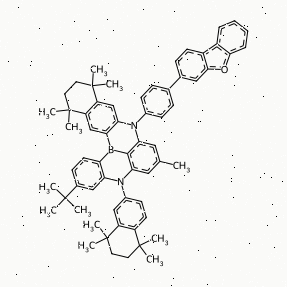 Cc1cc2c3c(c1)N(c1ccc(-c4ccc5c(c4)oc4ccccc45)cc1)c1cc4c(cc1B3c1ccc(C(C)(C)C)cc1N2c1ccc2c(c1)C(C)(C)CCC2(C)C)C(C)(C)CCC4(C)C